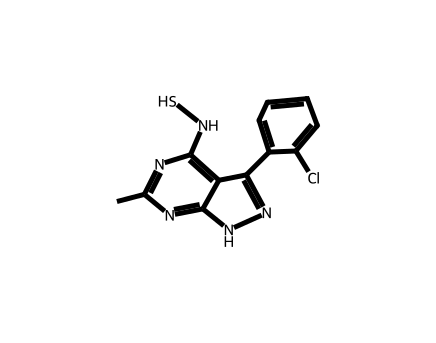 Cc1nc(NS)c2c(-c3ccccc3Cl)n[nH]c2n1